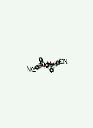 N#Cc1ccc(OCC(CN2CCN(CC(COc3ccc(C#N)cc3)OCc3ccccc3)CC2)OCc2ccccc2)cc1